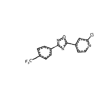 FC(F)(F)c1ccc(-c2noc(-c3ccnc(Cl)c3)n2)cc1